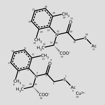 CC(=O)SCC(=O)N(c1c(C)cccc1C)[C@@H](C)C(=O)[O-].CC(=O)SCC(=O)N(c1c(C)cccc1C)[C@@H](C)C(=O)[O-].[Cu+2]